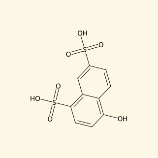 O=S(=O)(O)c1ccc2c(O)ccc(S(=O)(=O)O)c2c1